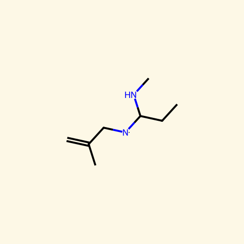 C=C(C)C[N]C(CC)NC